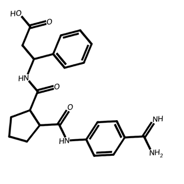 N=C(N)c1ccc(NC(=O)C2CCCC2C(=O)NC(CC(=O)O)c2ccccc2)cc1